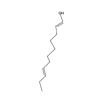 CCC=CCCCCCC=CO